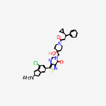 CNC1Cc2cc(-c3snc4c(=O)n(CC5(O)CCN(C(=O)CC(c6ccccc6)C6CC6)CC5)cnc34)cc(Cl)c2C1